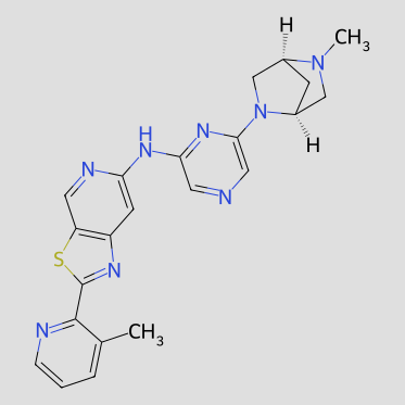 Cc1cccnc1-c1nc2cc(Nc3cncc(N4C[C@@H]5C[C@H]4CN5C)n3)ncc2s1